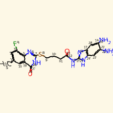 Cc1cc(F)c2nc(SCCCC(=O)Nc3nc4cc(N)c(N)cc4[nH]3)[nH]c(=O)c2c1